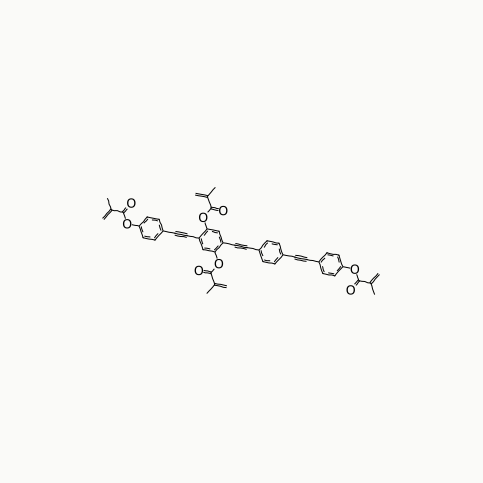 C=C(C)C(=O)Oc1ccc(C#Cc2ccc(C#Cc3cc(OC(=O)C(=C)C)c(C#Cc4ccc(OC(=O)C(=C)C)cc4)cc3OC(=O)C(=C)C)cc2)cc1